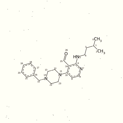 CC(C)CCNc1nccc(N2CCN(Cc3ccccc3)CC2)c1C=O